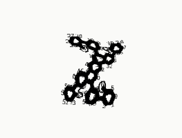 c1ccc2c(c1)oc1c(-c3cc4cc5c(cc(-c6cccc7c6oc6ccccc67)c6c5ccc5c7ccccc7sc56)cc4c4ccc5c6ccccc6sc5c34)cccc12